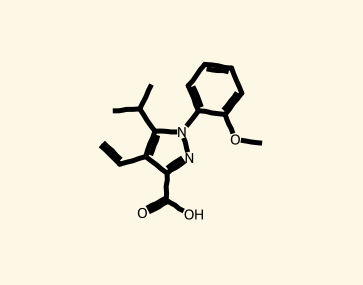 C=Cc1c(C(=O)O)nn(-c2ccccc2OC)c1C(C)C